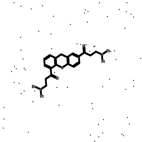 CCN(CC)CCC(=O)c1ccc2c(c1)Cc1cccc(C(=O)CCN(CC)CC)c1S2